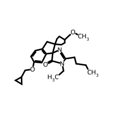 CCCCC1=NC2(C(=O)N1CC)c1cc(OCC3CC3)ccc1CC21CCC(OC)CC1